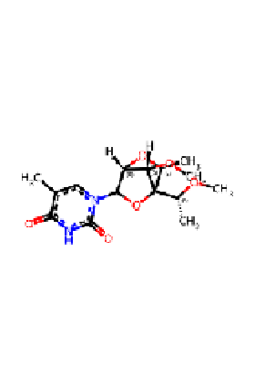 CO[C@H](C)C12OC(n3cc(C)c(=O)[nH]c3=O)[C@H](O[C@H]1C)[C@@H]2OC